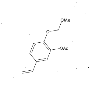 C=Cc1ccc(OCOC)c(OC(C)=O)c1